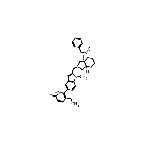 CCc1ccc(=O)[nH]c1-c1ccc2c(c1)cc(CN1C[C@H]3CCC[C@@H](N(C)Cc4ccccc4)[C@H]3C1)n2C